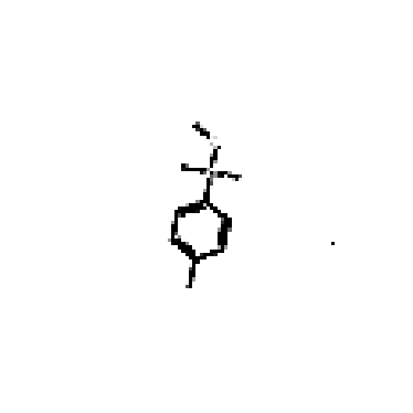 CO[Si](C)(C)c1ccc(C)cc1